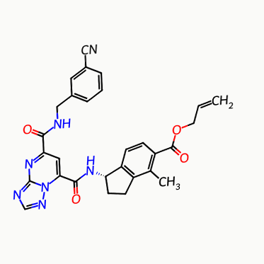 C=CCOC(=O)c1ccc2c(c1C)CC[C@@H]2NC(=O)c1cc(C(=O)NCc2cccc(C#N)c2)nc2ncnn12